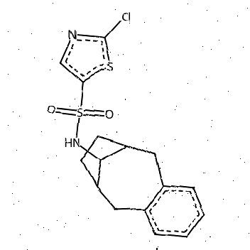 O=S(=O)(NC1C2CCC1Cc1ccccc1C2)c1cnc(Cl)s1